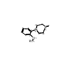 CC(C)Oc1c[c]ccc1N1CCN(C)CC1